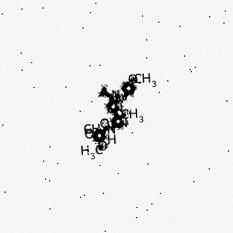 COc1ccc(Cn2nc(C3CC3)c3ccc(-c4cc(NC(=O)c5cc(OC)cc(OC)c5)cnc4C)nc32)cc1